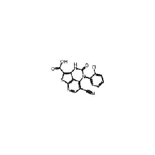 N#Cc1cnc2sc(C(=O)O)c3c2c1N(c1ccccc1Cl)C(=O)N3